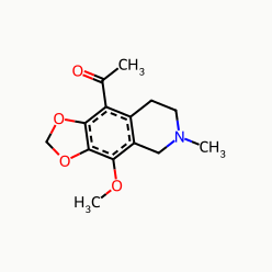 COc1c2c(c(C(C)=O)c3c1OCO3)CCN(C)C2